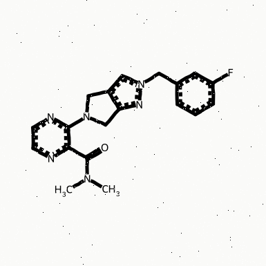 CN(C)C(=O)c1nccnc1N1Cc2cn(Cc3cccc(F)c3)nc2C1